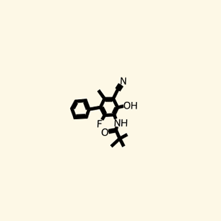 Cc1c(C#N)c(O)c(NC(=O)C(C)(C)C)c(F)c1-c1ccccc1